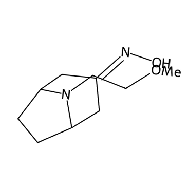 COCCN1C2CCC1CC(=NO)C2